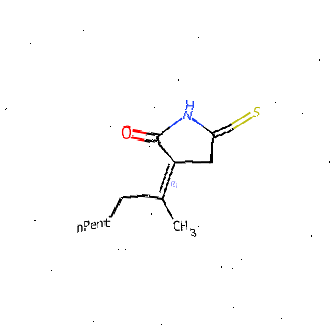 CCCCCC/C(C)=C1/CC(=S)NC1=O